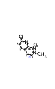 CN/C=C\c1ccc(Cl)nc1C=O